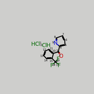 Cl.Cl.O=C(c1ccccn1)c1ccccc1C(F)(F)F